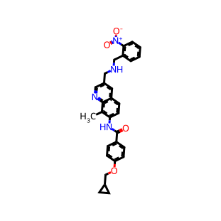 Cc1c(NC(=O)c2ccc(OCC3CC3)cc2)ccc2cc(CNCc3ccccc3[N+](=O)[O-])cnc12